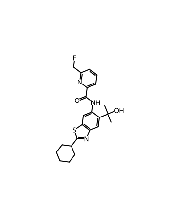 CC(C)(O)c1cc2nc(C3CCCCC3)sc2cc1NC(=O)c1cccc(CF)n1